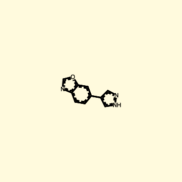 c1nc2ccc(-c3cn[nH]c3)cc2o1